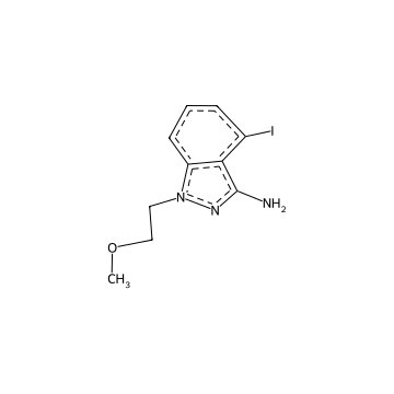 COCCn1nc(N)c2c(I)cccc21